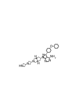 Nc1ncnc2c1c(-c1ccc(Oc3ccccc3)cc1)nn2C1C[C@@H]2CN(C3CN(C4CNC4)C3)C[C@@H]2C1